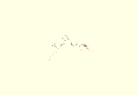 CCCCCC[C@@H](C/C=C/[C@H]1CCC[C@@H]1C/C=C\CCCC(O)(O)CO)C1CC1